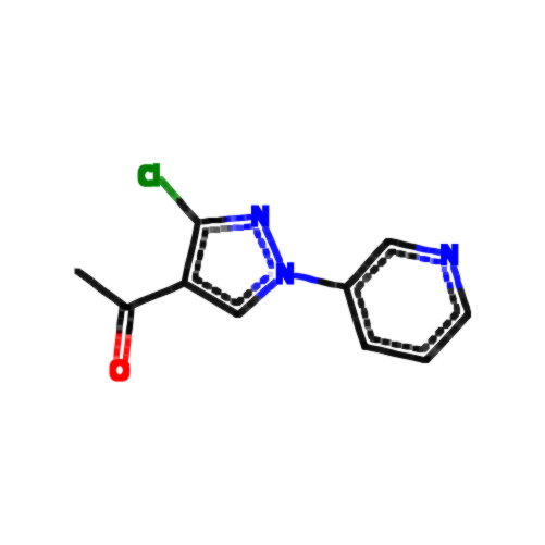 CC(=O)c1cn(-c2cccnc2)nc1Cl